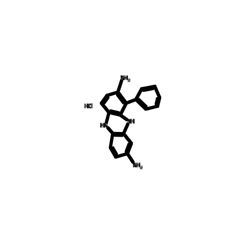 Cl.Nc1ccc2c(c1)Nc1c(ccc(N)c1-c1ccccc1)N2